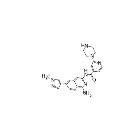 Bc1nc(NC(=O)c2ccnc(N3CCNCC3)c2)cc2cc(-c3cnn(C)c3)ccc12